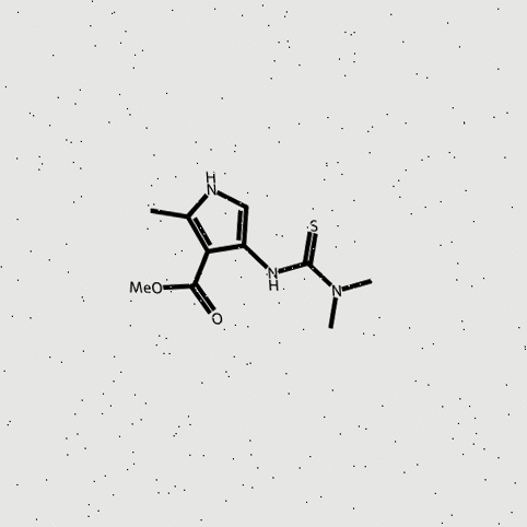 COC(=O)c1c(NC(=S)N(C)C)c[nH]c1C